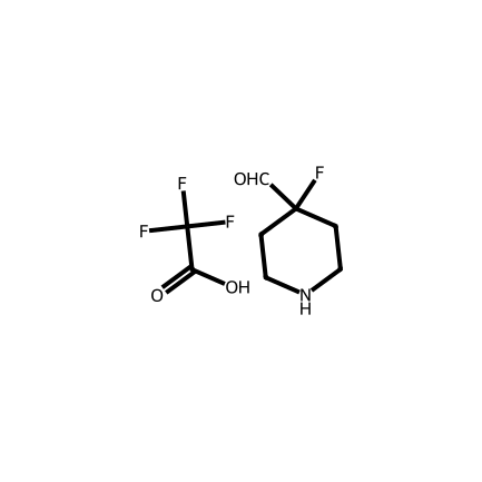 O=C(O)C(F)(F)F.O=CC1(F)CCNCC1